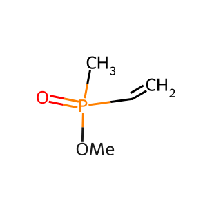 C=CP(C)(=O)OC